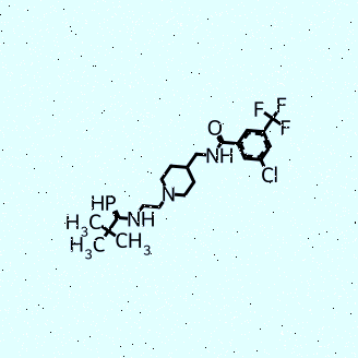 CC(C)(C)C(=P)NCCN1CCC(CNC(=O)c2cc(Cl)cc(C(F)(F)F)c2)CC1